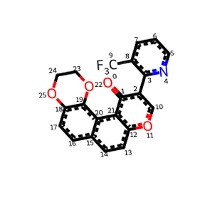 O=c1c(-c2ncccc2C(F)(F)F)coc2ccc3ccc4c(c3c12)OCCO4